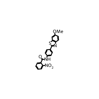 COc1ccc2nc(-c3ccc(NC(=O)c4ccccc4[N+](=O)[O-])cc3)sc2c1